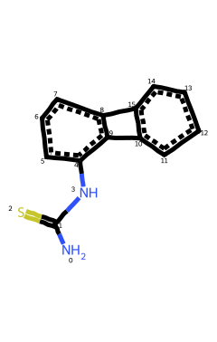 NC(=S)Nc1cccc2c1-c1ccccc1-2